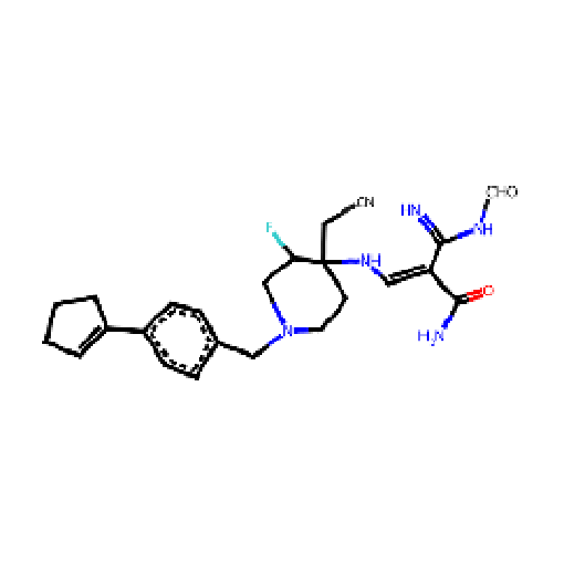 N#CCC1(N/C=C(\C(=N)NC=O)C(N)=O)CCN(Cc2ccc(C3=CCCC3)cc2)CC1F